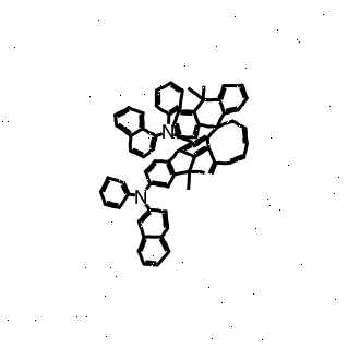 C=C1/C=C\C=C/CC2(c3ccccc3C(C)(C)c3ccccc32)c2cc(N(c3ccccc3)c3cccc4ccccc34)c3c(c21)C(C)(C)c1cc(N(c2ccccc2)c2ccc4ccccc4c2)ccc1-3